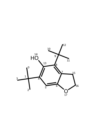 CC(C)(C)c1cc2c(c(C(C)(C)C)c1O)CCO2